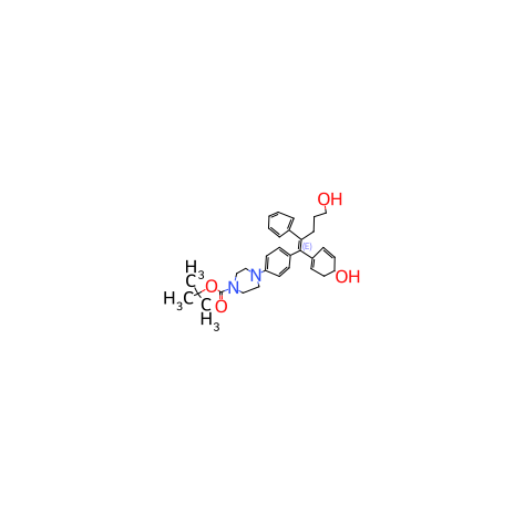 CC(C)(C)OC(=O)N1CCN(c2ccc(/C(C3=CCC(O)C=C3)=C(/CCCO)c3ccccc3)cc2)CC1